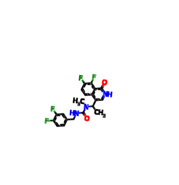 CC(c1c[nH]c(=O)c2c(F)c(F)ccc12)N(C)C(=O)NCc1ccc(F)c(F)c1